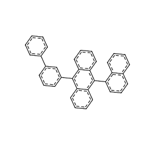 c1ccc(-c2cccc(-c3c4ccccc4c(-c4cccc5ccccc45)c4ccccc34)c2)cc1